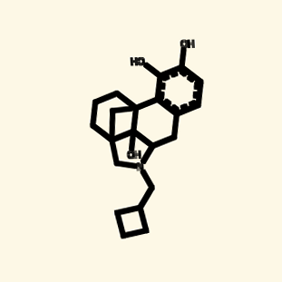 Oc1ccc2c(c1O)C13CCCC4(CN(CC5CCC5)C(C2)C41O)C3